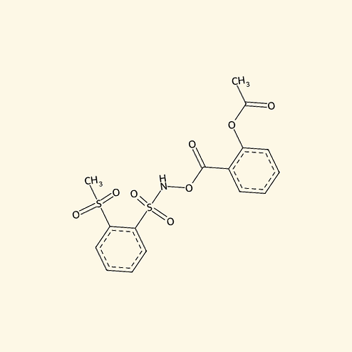 CC(=O)Oc1ccccc1C(=O)ONS(=O)(=O)c1ccccc1S(C)(=O)=O